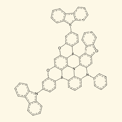 c1ccc(N2c3cccc4c3N3c5c6c(cc7c5B(c5ccc(-n8c9ccccc9c9ccccc98)cc5O7)c5c3c2cc2oc3ccccc3c52)Oc2cc(-n3c5ccccc5c5ccccc53)ccc2B46)cc1